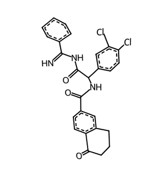 N=C(NC(=O)C(NC(=O)c1ccc2c(c1)CCCC2=O)c1ccc(Cl)c(Cl)c1)c1ccccc1